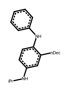 CCCCCCCCCCc1cc(NC(C)C)ccc1Nc1ccccc1